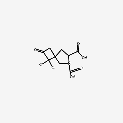 O=C(O)C1CC2(CC(=O)C2(Cl)Cl)CN1C(=O)O